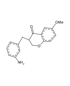 COc1ccc2c(c1)C(=O)C(Cc1cccc(N)c1)CO2